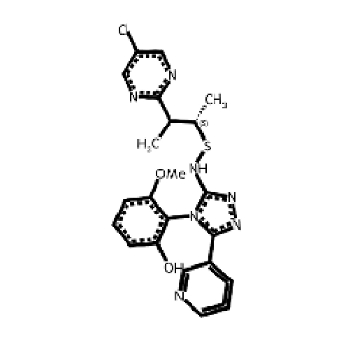 COc1cccc(O)c1-n1c(NS[C@@H](C)C(C)c2ncc(Cl)cn2)nnc1C1=C=C=CN=C1